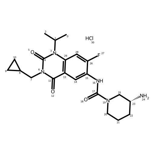 CC(C)n1c(=O)n(CC2CC2)c(=O)c2cc(NC(=O)N3CCC[C@@H](N)C3)c(F)cc21.Cl